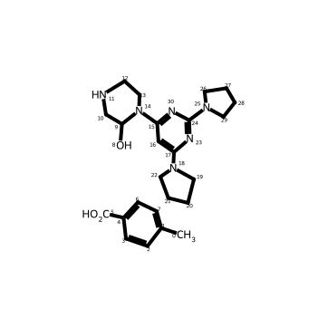 Cc1ccc(C(=O)O)cc1.OC1CNCCN1c1cc(N2CCCC2)nc(N2CCCC2)n1